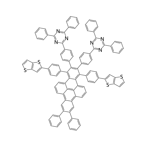 c1ccc(-c2nc(-c3ccccc3)nc(-c3ccc(-c4c(-c5ccc(-c6nc(-c7ccccc7)nc(-c7ccccc7)n6)cc5)c(-c5ccc(-c6cc7sccc7s6)cc5)c5c6cccc7c8cc(-c9ccccc9)c(-c9ccccc9)cc8c8cccc(c5c4-c4ccc(-c5cc9sccc9s5)cc4)c8c76)cc3)n2)cc1